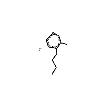 CCCCc1cccc[n+]1C.[Cl-]